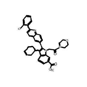 O=C(O)c1ccc2c(C3CCCCC3)c(-c3ccc4nc(-c5ccccc5Cl)ccc4c3)n(CC(=O)N3CCOCC3)c2c1